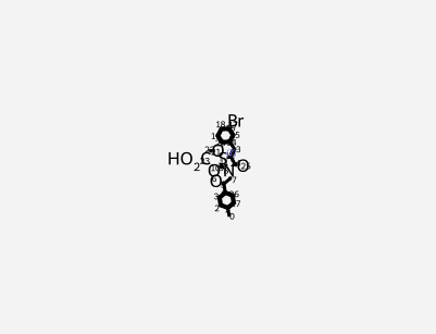 Cc1ccc(C(=O)CN2C(=O)S/C(=C\c3cc(Br)ccc3OCC(=O)O)C2=O)cc1